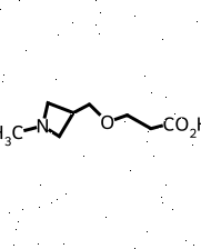 CN1CC(COCCC(=O)O)C1